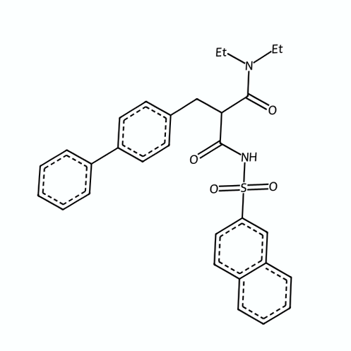 CCN(CC)C(=O)C(Cc1ccc(-c2ccccc2)cc1)C(=O)NS(=O)(=O)c1ccc2ccccc2c1